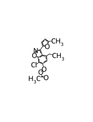 CCc1cc(OOC(C)=O)c(Cl)c2onc(-c3ccc(C)o3)c12